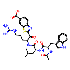 CC(=O)N[C@H](Cc1c[nH]c2ccccc12)C(=O)N[C@@H](CC(C)C)C(=O)N[C@@H](CCCNC(=N)N)C(=O)c1nc2ccc(C(=O)O)cc2s1